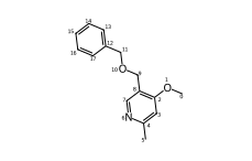 COc1cc(C)ncc1COCc1ccccc1